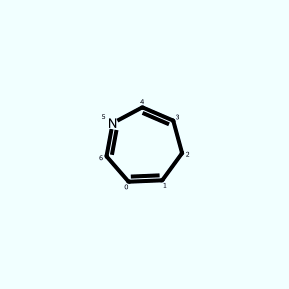 C1=CCC=CN=C1